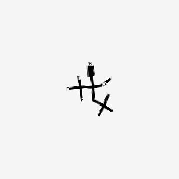 CC(C)(C)CC(C#N)(OI)C(F)(F)F